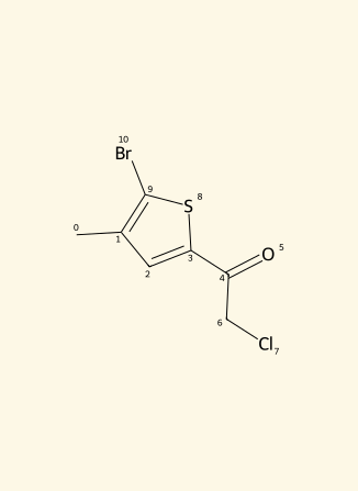 Cc1cc(C(=O)CCl)sc1Br